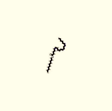 CCCCC/C=C\C/C=C\C/C=C\C/C=C\CCCC(=O)OCCCCCCCCCC